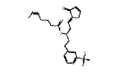 C/C=C\CCCC(=O)OC(C/C=C1\CC=CC1=O)CCc1cccc(C(F)(F)F)c1